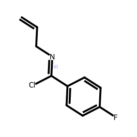 C=CC/N=C(\Cl)c1ccc(F)cc1